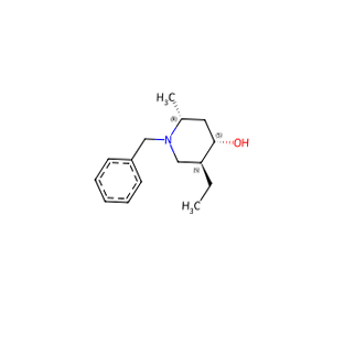 CC[C@H]1CN(Cc2ccccc2)[C@H](C)C[C@@H]1O